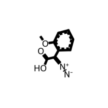 COc1ccccc1C(=[N+]=[N-])C(=O)O